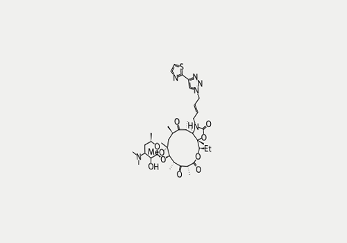 CC[C@H]1OC(=O)[C@H](C)C(=O)[C@H](C)[C@@H](O[C@@H]2O[C@H](C)CC(N(C)C)C2O)[C@](C)(OC)C[C@@H](C)C(=O)[C@H](C)[C@H]2N(C/C=C/Cn3cc(-c4nccs4)nn3)C(=O)O[C@]12C